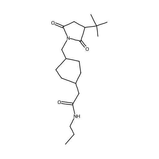 CCCNC(=O)CC1CCC(CN2C(=O)CC(C(C)(C)C)C2=O)CC1